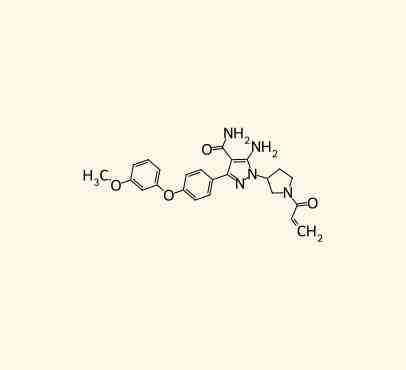 C=CC(=O)N1CCC(n2nc(-c3ccc(Oc4cccc(OC)c4)cc3)c(C(N)=O)c2N)C1